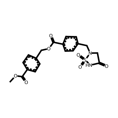 COC(=O)c1ccc(COC(=O)c2ccc(CN3CC(=O)NS3(=O)=O)cc2)cc1